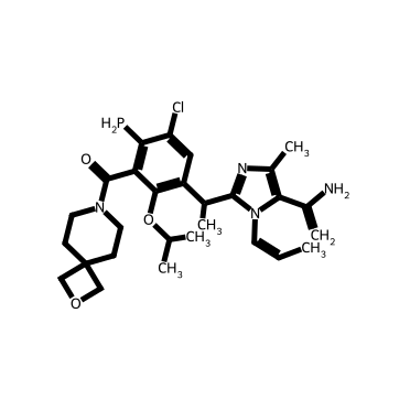 C=C(N)c1c(C)nc(C(C)c2cc(Cl)c(P)c(C(=O)N3CCC4(CC3)COC4)c2OC(C)C)n1/C=C\C